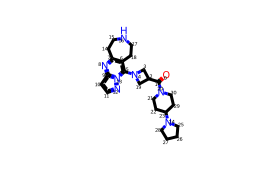 O=C(C1CN(c2c3c(nc4ccnn24)CCNCC3)C1)N1CCC(N2CCCC2)CC1